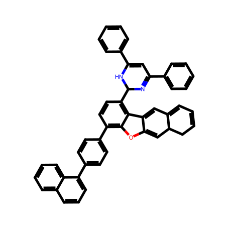 C1=CCC2C=c3oc4c(-c5ccc(-c6cccc7ccccc67)cc5)ccc(C5N=C(c6ccccc6)C=C(c6ccccc6)N5)c4c3=CC2=C1